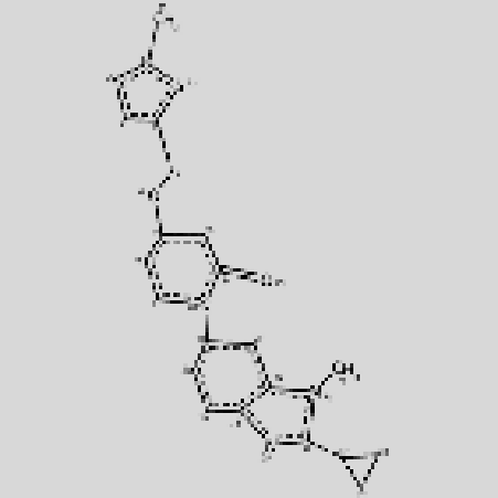 Cc1ccc(COc2ccn(-c3ccc4nc(C5CC5)n(C)c4c3)c(=O)c2)s1